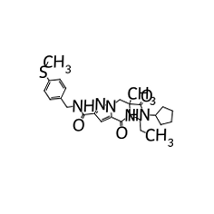 CCCN1C(=O)c2cc(C(=O)NCc3ccc(SC)cc3)nn2CC1(C)C(=O)NC1CCCC1